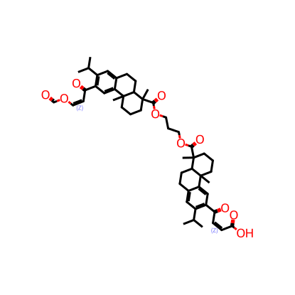 CC(C)c1cc2c(cc1C(=O)/C=C\OC=O)C1(C)CCCC(C)(C(=O)OCCCOC(=O)C3(C)CCCC4(C)c5cc(C(=O)/C=C\C(=O)O)c(C(C)C)cc5CCC34)C1CC2